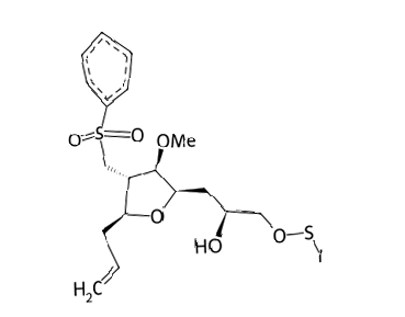 C=CC[C@@H]1O[C@H](C[C@H](O)COSI)[C@H](OC)[C@H]1CS(=O)(=O)c1ccccc1